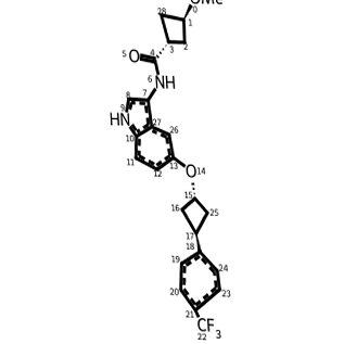 CO[C@H]1C[C@H](C(=O)Nc2c[nH]c3ccc(O[C@H]4C[C@H](c5ccc(C(F)(F)F)cc5)C4)cc23)C1